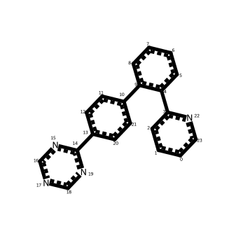 c1ccc(-c2ccccc2-c2ccc(-c3ncncn3)cc2)nc1